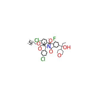 CCC(O)(c1cc(F)c2c(c1)C(=O)N(C(c1ccc(Cl)cc1)[C@H](C)C(=O)OCC[Si](C)(C)C)[C@@]2(OC)c1ccc(Cl)cc1)C1CCOCC1